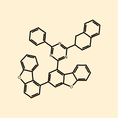 C1=CC(c2nc(-c3ccccc3)nc(-c3cc(-c4cccc5oc6ccccc6c45)cc4oc5ccccc5c34)n2)Cc2ccccc21